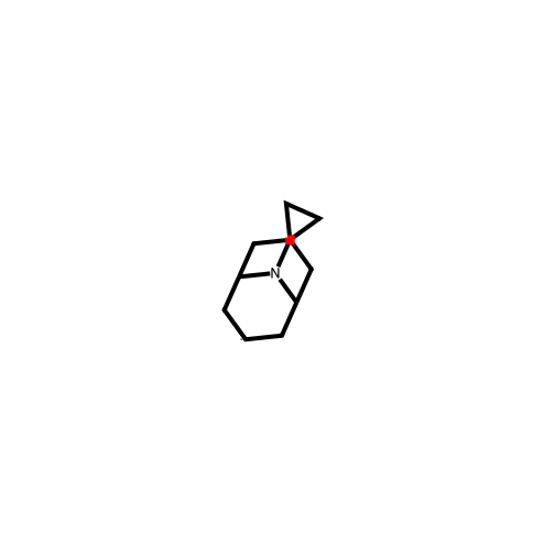 [CH]1CC2CCCC(C1)N2C1CC1